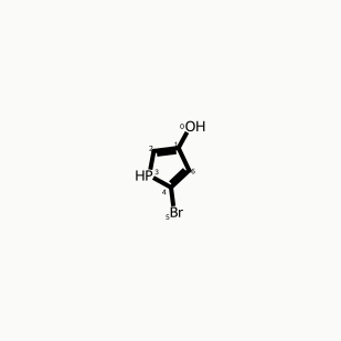 Oc1c[pH]c(Br)c1